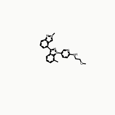 COCCNc1ccc(-n2nc(-c3cccc4nn(C)cc34)c3cccc(C)c32)cn1